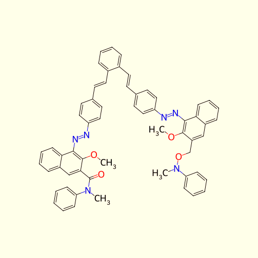 COc1c(CON(C)c2ccccc2)cc2ccccc2c1N=Nc1ccc(C=Cc2ccccc2C=Cc2ccc(N=Nc3c(OC)c(C(=O)N(C)c4ccccc4)cc4ccccc34)cc2)cc1